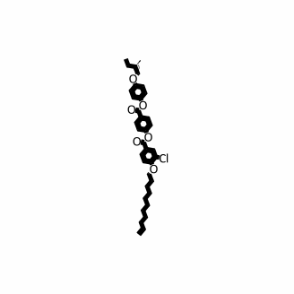 C=CCCCCCCCCCOc1ccc(C(=O)Oc2ccc(C(=O)Oc3ccc(OC[C@@H](C)CC)cc3)cc2)cc1Cl